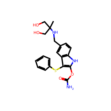 CC(CO)(CO)NCc1ccc2[nH]c(OC(N)=O)c(Sc3ccccc3)c2c1